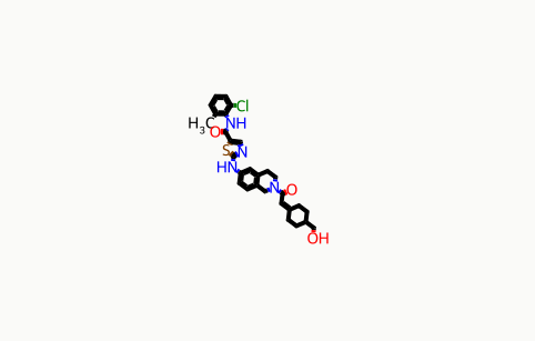 Cc1cccc(Cl)c1NC(=O)c1cnc(Nc2ccc3c(c2)CCN(C(=O)C=C2CCC(CO)CC2)C3)s1